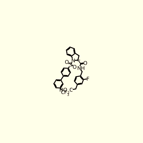 O=C(O)Cc1ccc(CNC(=O)[C@@H]2Cc3ccccc3N2S(=O)(=O)c2ccc(-c3cccc(C(F)(F)F)c3)cc2)c(F)c1